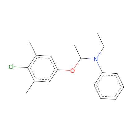 CCN(c1ccccc1)C(C)Oc1cc(C)c(Cl)c(C)c1